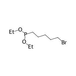 CCOP(CCCCCBr)OCC